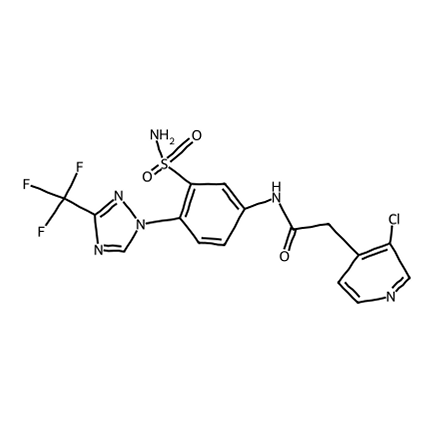 NS(=O)(=O)c1cc(NC(=O)Cc2ccncc2Cl)ccc1-n1cnc(C(F)(F)F)n1